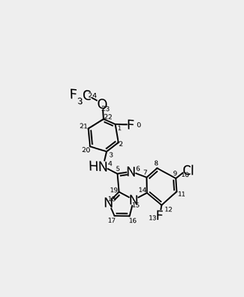 Fc1cc(Nc2nc3cc(Cl)cc(F)c3n3ccnc23)ccc1OC(F)(F)F